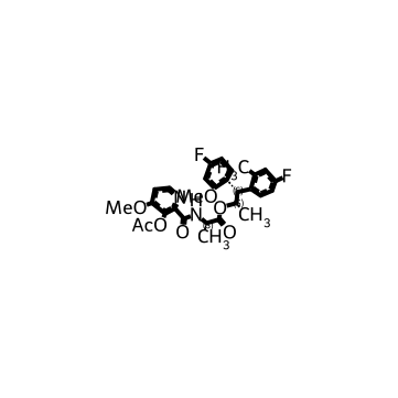 COc1cc(F)ccc1[C@H](c1ccc(F)cc1C)[C@H](C)OC(=O)[C@H](C)NC(=O)c1nccc(OC)c1OC(C)=O